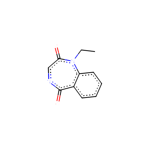 [CH]Cn1c(=O)cnc(=O)c2ccccc21